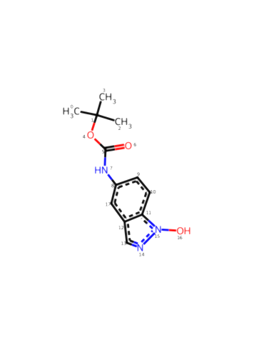 CC(C)(C)OC(=O)Nc1ccc2c(cnn2O)c1